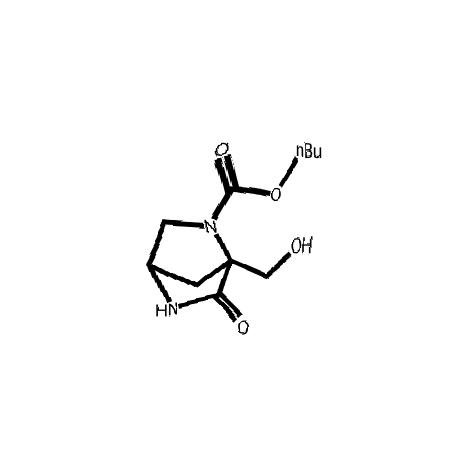 CCCCOC(=O)N1CC2CC1(CO)C(=O)N2